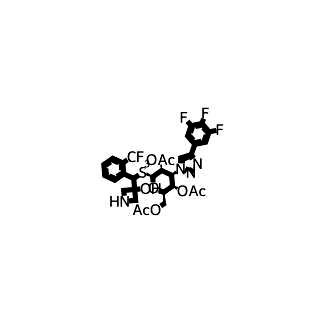 CC(=O)OC[C@H]1O[C@@H](SC(c2ccccc2C(F)(F)F)C2(O)CNC2)[C@H](OC(C)=O)[C@@H](n2cc(-c3cc(F)c(F)c(F)c3)nn2)[C@H]1OC(C)=O